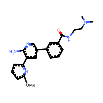 COc1cccc(-c2cc(-c3cccc(C(=O)NCCN(C)C)c3)cnc2N)n1